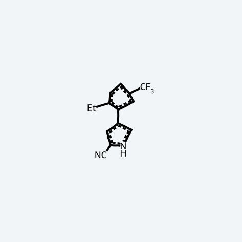 CCc1ccc(C(F)(F)F)cc1-c1c[nH]c(C#N)c1